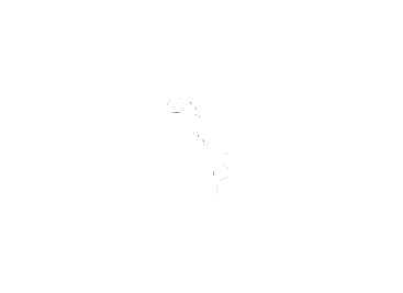 CC(C)(CC1C(=O)Nc2ccccc21)N1CCC(C(=O)c2ccc(F)cc2)CC1